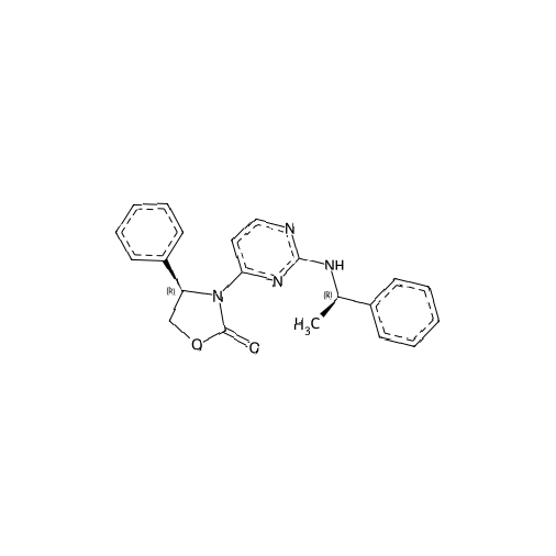 C[C@@H](Nc1nccc(N2C(=O)OC[C@H]2c2ccccc2)n1)c1ccccc1